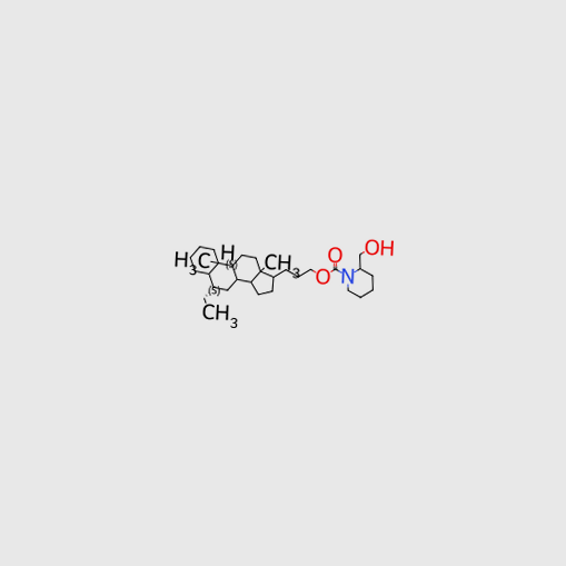 CC[C@H]1CC2C3CCC(CCCOC(=O)N4CCCCC4CO)C3(C)CC[C@@H]2C2(C)CCCCC12